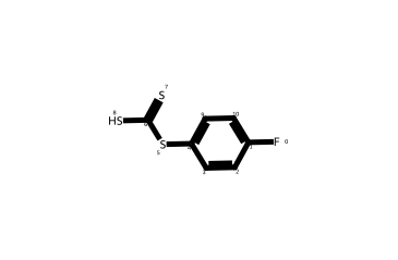 Fc1ccc(SC(=S)S)cc1